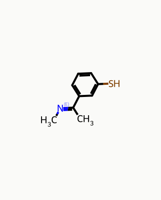 C/N=C(\C)c1cccc(S)c1